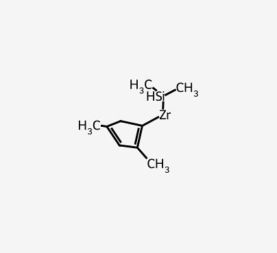 CC1=CC(C)=[C]([Zr][SiH](C)C)C1